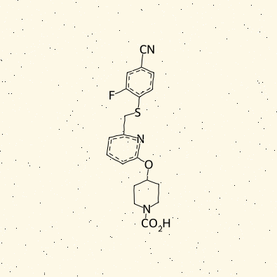 N#Cc1ccc(SCc2cccc(OC3CCN(C(=O)O)CC3)n2)c(F)c1